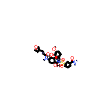 COc1ccc2c3c1O[C@H]1[C@H](N(C)C(=O)/C=C/c4ccoc4)CC[C@@]4(O)[C@@H](C2)N(S(=O)(=O)c2cccc(C(=O)N(C)C)c2)CC[C@]314